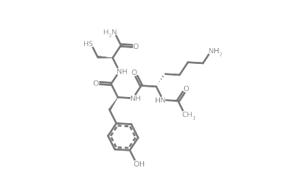 CC(=O)N[C@@H](CCCCN)C(=O)N[C@@H](Cc1ccc(O)cc1)C(=O)N[C@@H](CS)C(N)=O